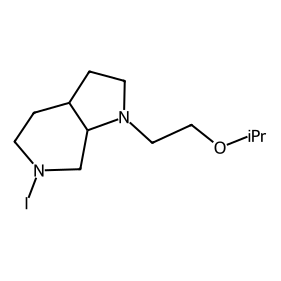 CC(C)OCCN1CCC2CCN(I)CC21